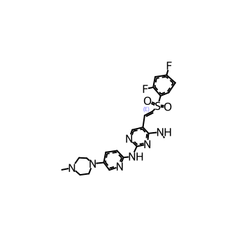 CNc1nc(Nc2ccc(N3CCN(C)CC3)cn2)ncc1/C=C/S(=O)(=O)c1ccc(F)cc1F